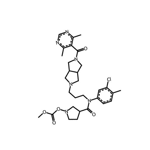 COC(=O)ON1CCC(C(=O)N(CCCN2CC3CN(C(=O)c4c(C)ncnc4C)CC3C2)c2ccc(C)c(Cl)c2)C1